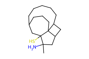 CC1(N)CC2CC3CCCCCC4CCCC32C1(S)C4